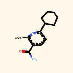 COc1nc(C2CCCCC2)ccc1C(N)=O